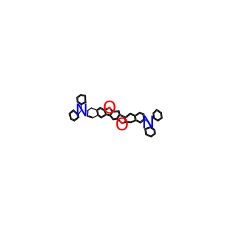 C1=CC(N(c2ccccc2)c2ccccc2)Cc2cc3oc4cc5c(cc4c3cc21)oc1cc2cc(N(c3ccccc3)c3ccccc3)ccc2cc15